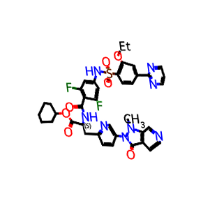 CCOc1cc(-c2ncccn2)ccc1S(=O)(=O)Nc1cc(F)c(C(=O)N[C@@H](Cc2ccc(-n3c(=O)c4ccncc4n3C)cn2)C(=O)OC2CCCCC2)c(F)c1